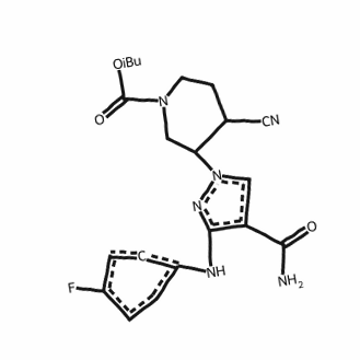 CC(C)COC(=O)N1CCC(C#N)C(n2cc(C(N)=O)c(Nc3ccc(F)cc3)n2)C1